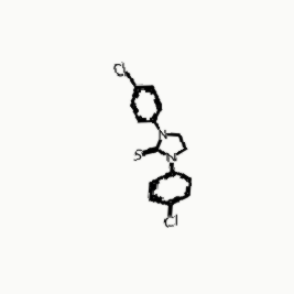 S=C1N(c2ccc(Cl)cc2)CCN1c1ccc(Cl)cc1